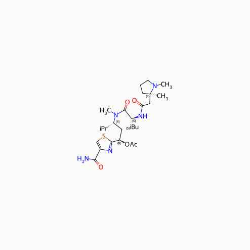 CC[C@H](C)[C@H](NC(=O)C[C@@]1(C)CCCN1C)C(=O)N(C)[C@H](C[C@@H](OC(C)=O)c1nc(C(N)=O)cs1)C(C)C